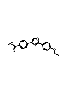 CCOc1ccc(-c2nc(-c3ccc(C(=O)OC)cc3)co2)cc1